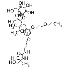 CCCOCCCOc1cc(OCCCNC(=O)NC(C)(C)CO)ccc1C/C(C(O[C@@H]1OC(CO)[C@@H](O)C(O)[C@H]1O)=C(C)C)=C(/C)C(C)C